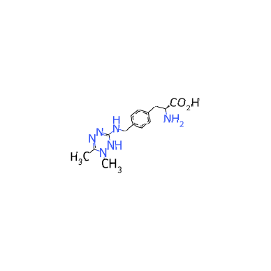 CC1=NN=C(NCc2ccc(C[C@H](N)C(=O)O)cc2)NN1C